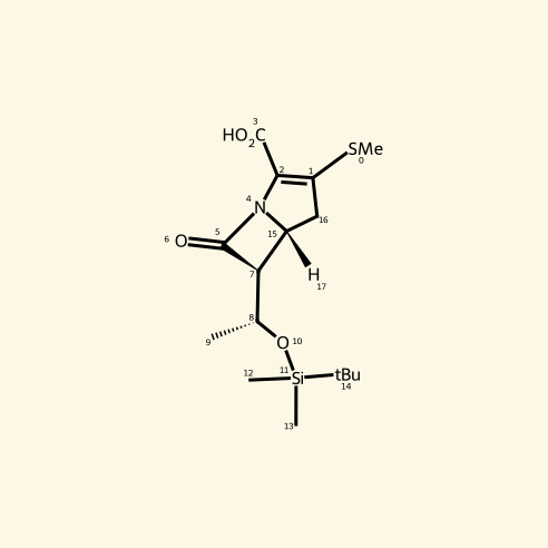 CSC1=C(C(=O)O)N2C(=O)[C@H]([C@@H](C)O[Si](C)(C)C(C)(C)C)[C@H]2C1